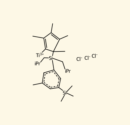 CC1=C(C)C(C)([Si](CC(C)C)(CC(C)C)c2cc(C)cc([Si](C)(C)C)c2)[C]([Ti+3])=C1C.[Cl-].[Cl-].[Cl-]